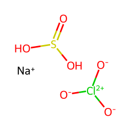 O=S(O)O.[Na+].[O-][Cl+2]([O-])[O-]